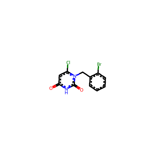 O=c1cc(Cl)n(Cc2ccccc2Br)c(=O)[nH]1